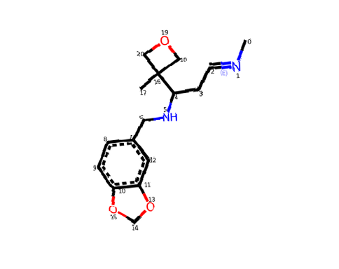 C/N=C/CC(NCc1ccc2c(c1)OCO2)C1(C)COC1